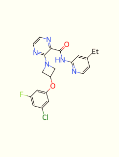 CCc1ccnc(NC(=O)c2nccnc2N2CC(Oc3cc(F)cc(Cl)c3)C2)c1